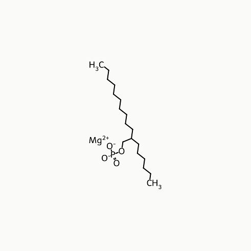 CCCCCCCCCCC(CCCCCC)COP(=O)([O-])[O-].[Mg+2]